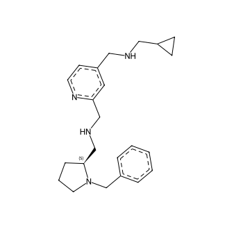 c1ccc(CN2CCC[C@H]2CNCc2cc(CNCC3CC3)ccn2)cc1